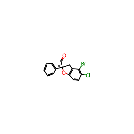 O=C[C@@]1(c2ccccc2)Cc2c(ccc(Cl)c2Br)O1